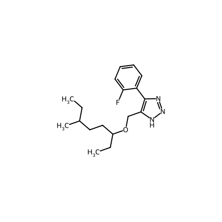 CCC(C)CCC(CC)OCc1[nH]nnc1-c1ccccc1F